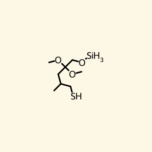 COC(CO[SiH3])(CC(C)CS)OC